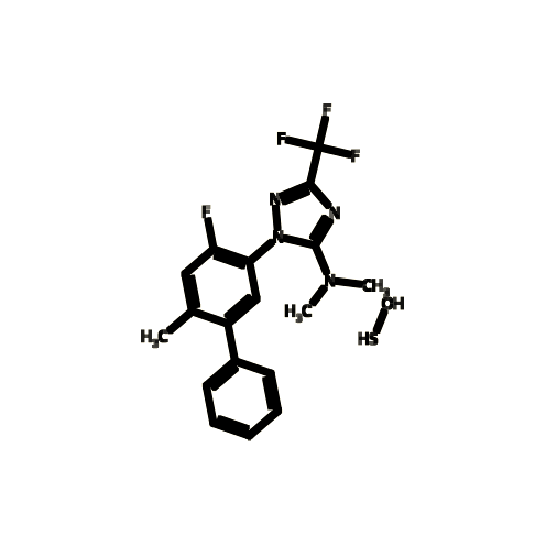 Cc1cc(F)c(-n2nc(C(F)(F)F)nc2N(C)C)cc1-c1cc[c]cc1.OS